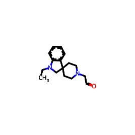 CCN1CC2(CCN(CC=O)CC2)c2ccccc21